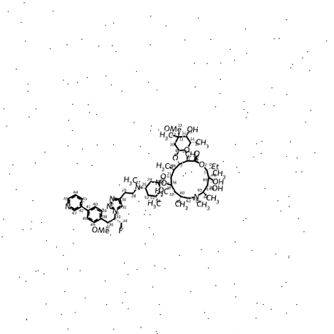 CC[C@H]1OC(=O)[C@H](C)[C@@H](O[C@H]2C[C@@](C)(OC)[C@@H](O)[C@H](C)O2)[C@H](C)[C@@H](O[C@H]2C[C@@H](N(C)CCc3cn([C@H](CF)[C@H](OC)c4ccc(-c5cccnc5)cc4)nn3)C[C@@H](C)O2)[C@](C)(O)C[C@@H](C)CN(C)[C@H](C)[C@@H](O)[C@]1(C)O